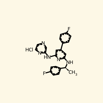 C[C@H](Nc1cc(-c2ccc(F)cc2)cc(Nc2cnccn2)n1)c1ccc(F)cc1.Cl